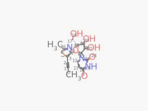 CC#Cc1cnc(C)s1.O=c1ccn([C@@H]2O[C@H](CO)[C@@H](O)[C@H]2O)c(=O)[nH]1